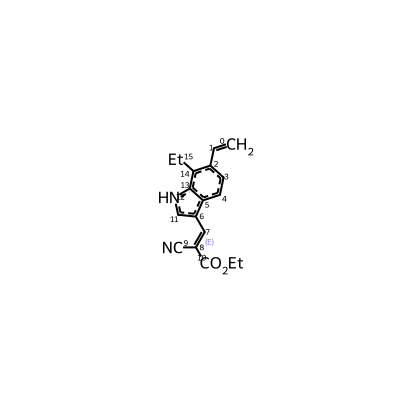 C=Cc1ccc2c(/C=C(\C#N)C(=O)OCC)c[nH]c2c1CC